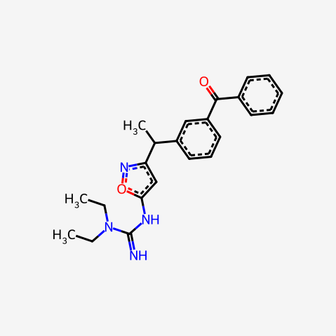 CCN(CC)C(=N)Nc1cc(C(C)c2cccc(C(=O)c3ccccc3)c2)no1